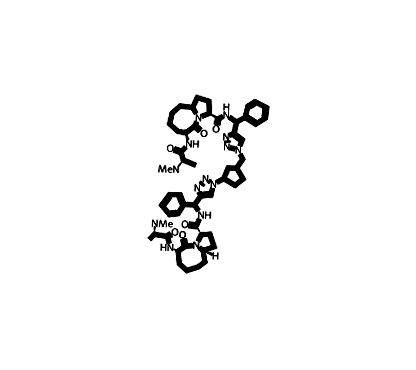 CN[C@@H](C)C(=O)N[C@H]1CCCCC2CC[C@@H](C(=O)NC(c3ccccc3)c3cn(CC4CCC(n5cc(C(NC(=O)[C@@H]6CC[C@@H]7CCCC[C@H](NC(=O)[C@H](C)NC)C(=O)N76)c6ccccc6)nn5)C4)nn3)N2C1=O